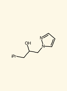 CC(C)CC(O)Cn1cccn1